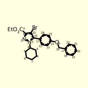 CCOC(=O)c1nn(C2CCCCC2)c(-c2ccc(OCc3ccccc3)cc2)c1Br